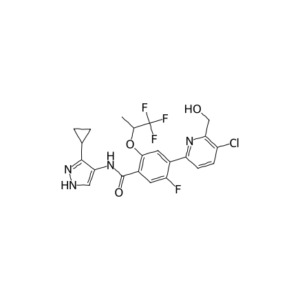 CC(Oc1cc(-c2ccc(Cl)c(CO)n2)c(F)cc1C(=O)Nc1c[nH]nc1C1CC1)C(F)(F)F